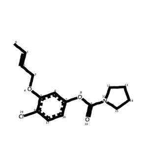 CC=CCOc1cc(OC(=O)N2CCCC2)ccc1Cl